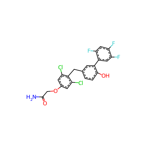 NC(=O)COc1cc(Cl)c(Cc2ccc(O)c(-c3cc(F)c(F)cc3F)c2)c(Cl)c1